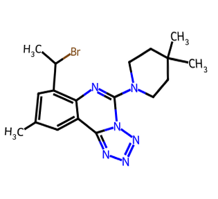 Cc1cc(C(C)Br)c2nc(N3CCC(C)(C)CC3)n3nnnc3c2c1